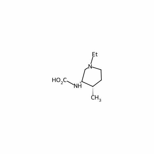 CCN1CC[C@H](C)[C@H](NC(=O)O)C1